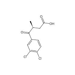 C[C@@H](CC(=O)O)C(=O)c1ccc(Cl)c(Cl)c1